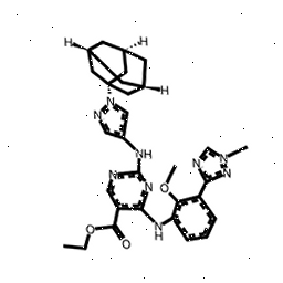 CCOC(=O)c1cnc(Nc2cnn([C@]34C[C@H]5C[C@H](C[C@H](C5)C3)C4)c2)nc1Nc1cccc(-c2ncn(C)n2)c1OC